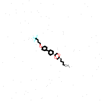 CCCCC[C@H]1CO[C@H](c2ccc(-c3ccc(OCCCC(F)(F)F)cc3)cc2)CO1